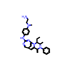 C=C(Nc1ccccc1)C1=CC2C=NC(Nc3ccc(N(C)CCN)cc3)=NC(=C2)N1C(CC)CC